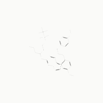 CCCC(CCO[Si](C)(C)C(C)(C)C)Nc1nc(N(Cc2ccc(OC)cc2)Cc2ccc(OC)cc2)c2nccn2n1